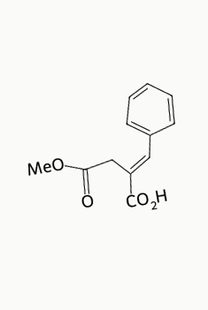 COC(=O)CC(=Cc1ccccc1)C(=O)O